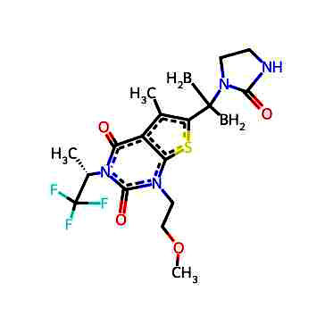 BC(B)(c1sc2c(c1C)c(=O)n([C@@H](C)C(F)(F)F)c(=O)n2CCOC)N1CCNC1=O